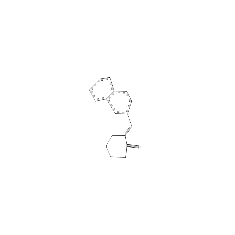 O=C1CCCCC1=Cc1ccc2ccccc2c1